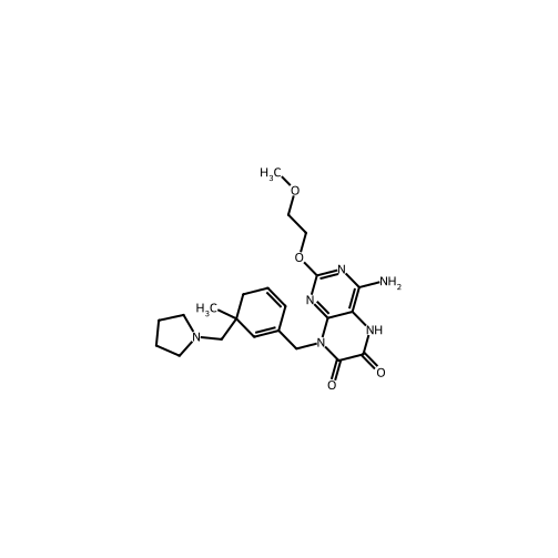 COCCOc1nc(N)c2[nH]c(=O)c(=O)n(CC3=CC(C)(CN4CCCC4)CC=C3)c2n1